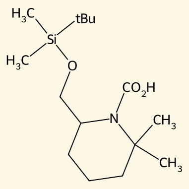 CC1(C)CCCC(CO[Si](C)(C)C(C)(C)C)N1C(=O)O